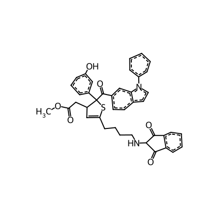 COC(=O)CC1C=C(CCCCNC2C(=O)c3ccccc3C2=O)SC1(C(=O)c1ccc2ccn(-c3ccccc3)c2c1)c1cccc(O)c1